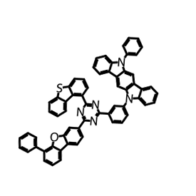 c1ccc(-c2cccc3c2oc2cc(-c4nc(-c5cccc(-n6c7ccccc7c7cc8c(cc76)c6ccccc6n8-c6ccccc6)c5)nc(-c5cccc6sc7ccccc7c56)n4)ccc23)cc1